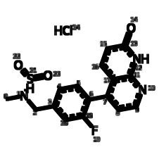 CN(Cc1ccc(-c2ccnc3[nH]c(=O)ccc23)c(F)c1)[SH](=O)=O.Cl